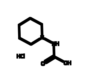 Cl.O=C(O)NN1CCCCC1